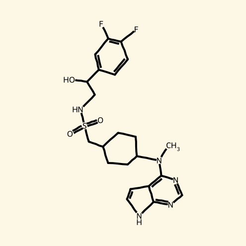 CN(c1ncnc2[nH]ccc12)C1CCC(CS(=O)(=O)NCC(O)c2ccc(F)c(F)c2)CC1